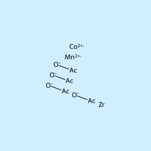 CC(=O)[O-].CC(=O)[O-].CC(=O)[O-].CC(=O)[O-].[Co+2].[Mn+2].[Zr]